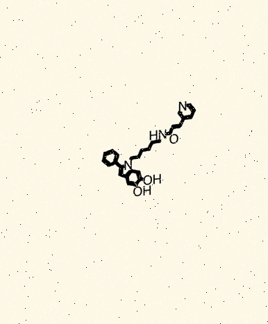 O=C(/C=C/c1cccnc1)NCCCCCCn1c(-c2ccccc2)cc2cc(O)c(O)cc21